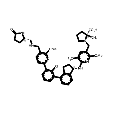 COc1nc(-c2cccc(-c3cccc4c3CC[C@@H]4Nc3nc(OC)c(CN4CCC[C@]4(C)C(=O)O)cc3C(F)(F)F)c2Cl)ccc1CNC[C@@H]1CCC(=O)N1